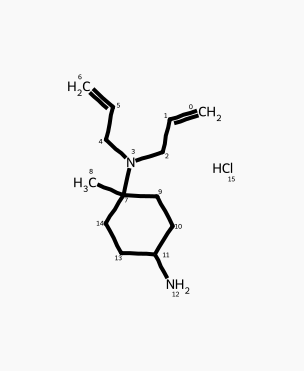 C=CCN(CC=C)C1(C)CCC(N)CC1.Cl